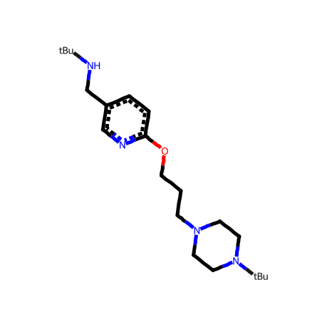 CC(C)(C)NCc1ccc(OCCCN2CCN(C(C)(C)C)CC2)nc1